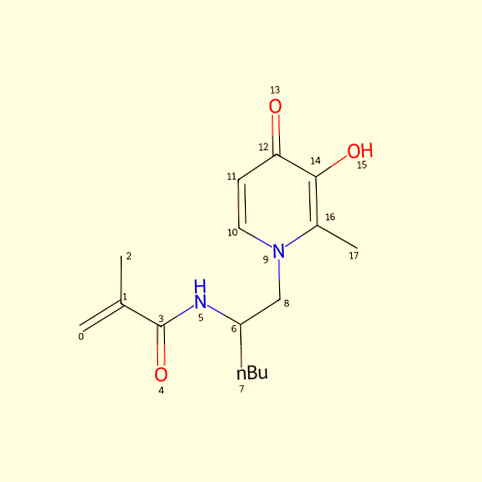 C=C(C)C(=O)NC(CCCC)Cn1ccc(=O)c(O)c1C